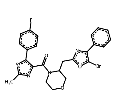 Cc1nc(C(=O)N2CCOCC2Cc2nc(-c3ccccc3)c(Br)o2)c(-c2ccc(F)cc2)s1